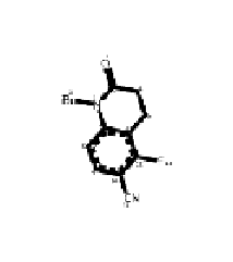 CCC(C)N1C(=O)CCc2c1ccc(C#N)c2F